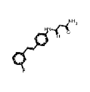 NC(=O)CC(=O)Nc1ccc(C=Cc2cccc(F)c2)cc1